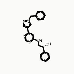 O[C@@H](CNc1cc(-c2cnn(Cc3ccccc3)c2)ncn1)c1ccccc1